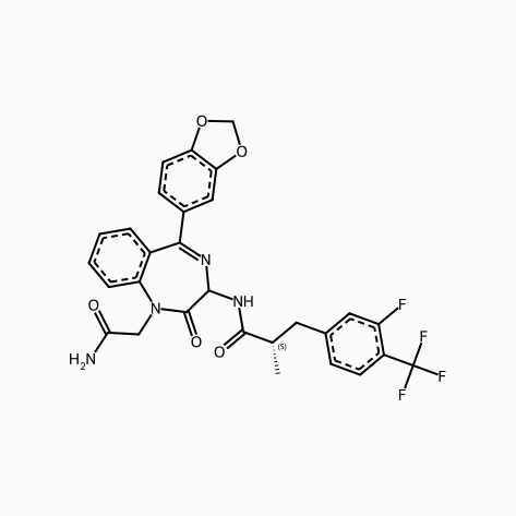 C[C@@H](Cc1ccc(C(F)(F)F)c(F)c1)C(=O)NC1N=C(c2ccc3c(c2)OCO3)c2ccccc2N(CC(N)=O)C1=O